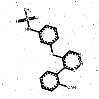 COc1ccccc1-c1nnncc1Nc1cccc(NS(C)(=O)=O)c1